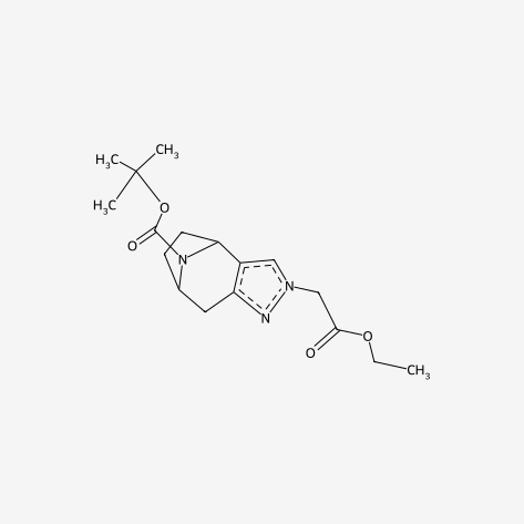 CCOC(=O)Cn1cc2c(n1)CC1CCC2N1C(=O)OC(C)(C)C